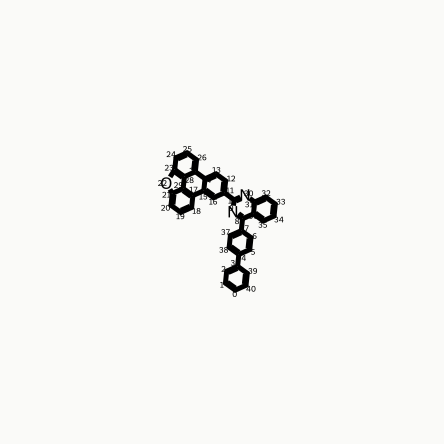 c1ccc(-c2ccc(-c3nc(-c4ccc5c(c4)c4cccc6oc7cccc5c7c64)nc4ccccc34)cc2)cc1